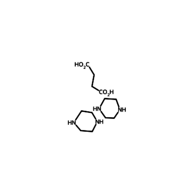 C1CNCCN1.C1CNCCN1.O=C(O)CCC(=O)O